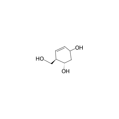 OC[C@H]1C=CC(O)C[C@@H]1O